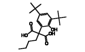 CCCCC(C(=O)O)(C(=O)O)c1cc(C(C)(C)C)cc(C(C)(C)C)c1O